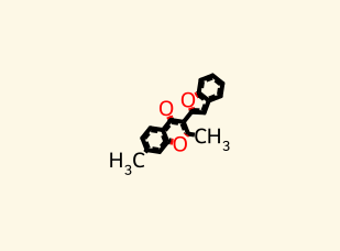 Cc1ccc2c(=O)c(-c3cc4ccccc4o3)c(C)oc2c1